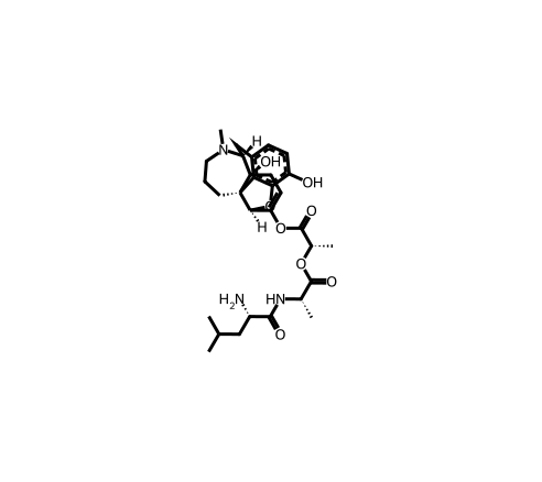 CC(C)C[C@H](N)C(=O)N[C@@H](C)C(=O)O[C@@H](C)C(=O)OC1=CC[C@@]2(O)[C@H]3Cc4ccc(O)c5c4[C@@]2(CCCN3C)[C@H]1O5